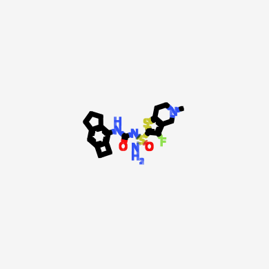 CN1CCc2sc(S(N)(=O)=NC(=O)Nc3c4c(cc5c3CC5)CCC4)c(F)c2C1